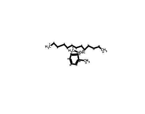 CCCCCCCCCCC.CCCCCCCCCCCCC.Cc1ccccc1